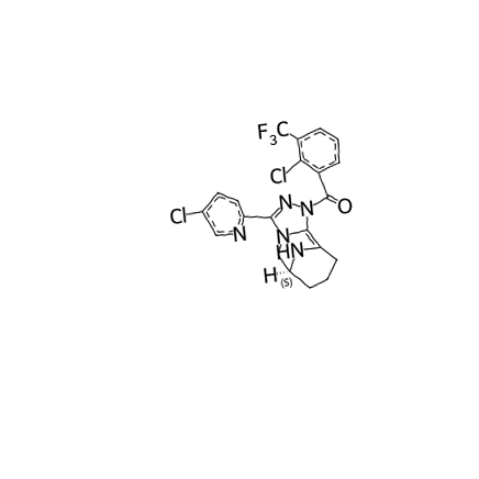 O=C(c1cccc(C(F)(F)F)c1Cl)N1N=C(c2ccc(Cl)cn2)N2C[C@@H]3CCCC(=C21)N3